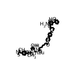 Cc1ncsc1-c1ccc([C@H](C)NC(=O)[C@@H]2C[C@@H](O)CN2C(=O)[C@@H](NC(=O)CCCCCC(=O)N2CCN(c3ccc(N4CCCC(Oc5cc(-c6ccccc6O)nnc5N)C4)cc3)CC2)C(C)(C)C)cc1